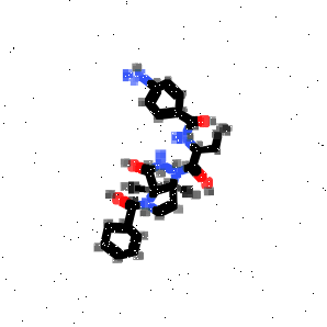 CC(C)C[C@H](NC(=O)c1ccc(N)cc1)C(=O)N1NC(=O)[C@H]2[C@@H]1C=CN2C(=O)c1ccccc1